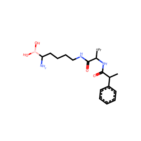 CCCC(NC(=O)C(C)c1ccccc1)C(=O)NCCCCC(N)B(O)O